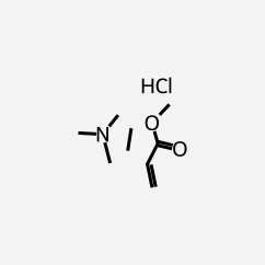 C=CC(=O)OC.CC.CN(C)C.Cl